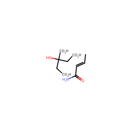 CC=CC(N)=O.O=C(O)CC(O)(CC(=O)O)C(=O)O